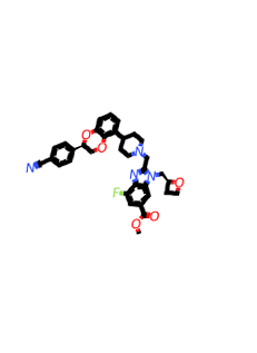 COC(=O)c1cc(F)c2nc(CN3CCC(c4cccc5c4OC[C@@H](c4ccc(C#N)cc4)O5)CC3)n(C[C@@H]3CCO3)c2c1